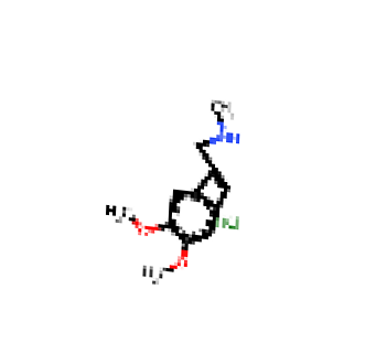 CNCC1=Cc2cc(OC)c(OC)cc21.Cl